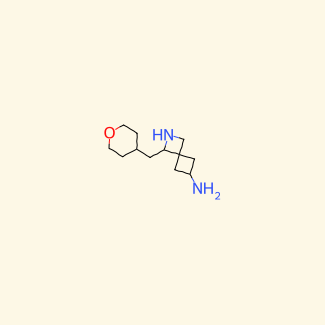 NC1CC2(CNC2CC2CCOCC2)C1